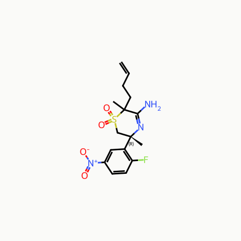 C=CCCC1(C)C(N)=N[C@](C)(c2cc([N+](=O)[O-])ccc2F)CS1(=O)=O